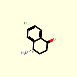 Cl.N[C@H]1CCC(=O)c2ccccc21